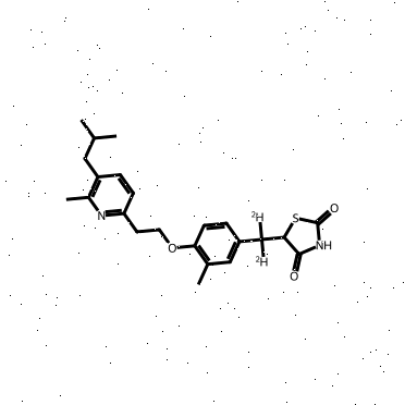 [2H]C([2H])(c1ccc(OCCc2ccc(CC(C)C)c(C)n2)c(C)c1)C1SC(=O)NC1=O